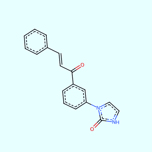 O=C(C=Cc1ccccc1)c1cccc(-n2cc[nH]c2=O)c1